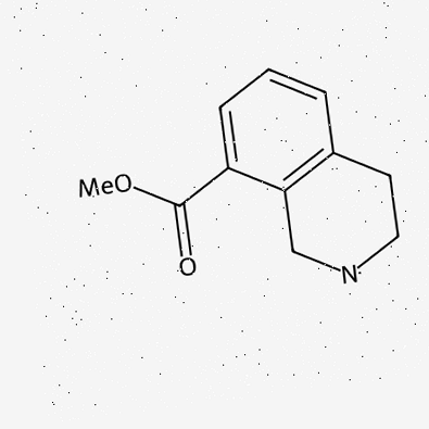 COC(=O)c1cccc2c1C[N]CC2